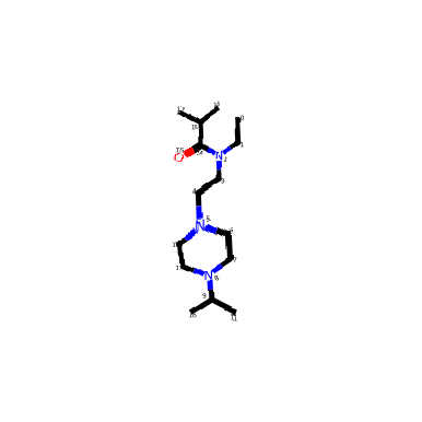 CCN(CCN1CCN(C(C)C)CC1)C(=O)C(C)C